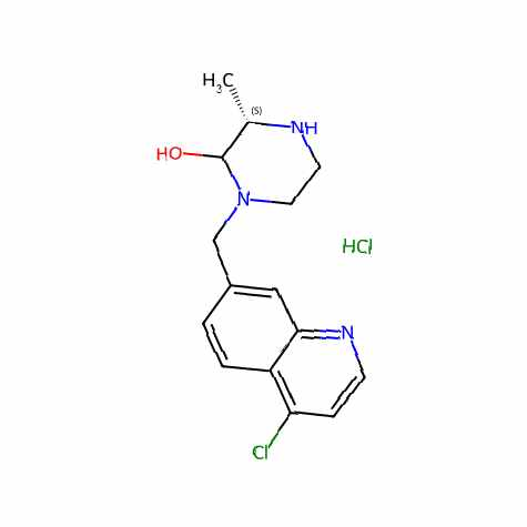 C[C@@H]1NCCN(Cc2ccc3c(Cl)ccnc3c2)C1O.Cl